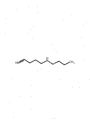 CCCCNCCCC=N